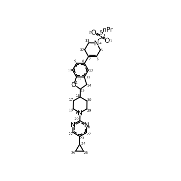 CCCS(=O)(=O)N1CC=C(c2ccc3c(c2)CC(C2CCN(c4ncc(C5CC5)cn4)CC2)O3)CC1